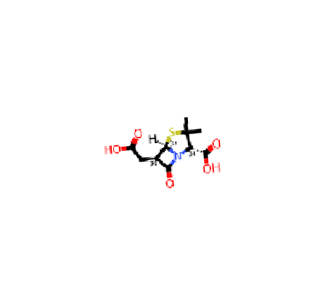 CC1(C)S[C@@H]2[C@H](CC(=O)O)C(=O)N2[C@H]1C(=O)O